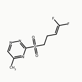 Cc1cnnc(S(=O)(=O)CCC=C(F)F)n1